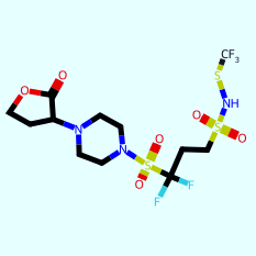 O=C1OCCC1N1CCN(S(=O)(=O)C(F)(F)CCS(=O)(=O)NSC(F)(F)F)CC1